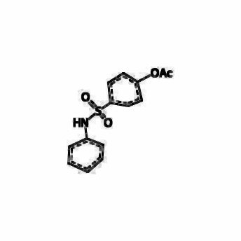 CC(=O)Oc1ccc(S(=O)(=O)Nc2ccccc2)cc1